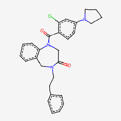 O=C1CN(C(=O)c2ccc(N3CCCC3)cc2Cl)c2ccccc2CN1CCc1ccccc1